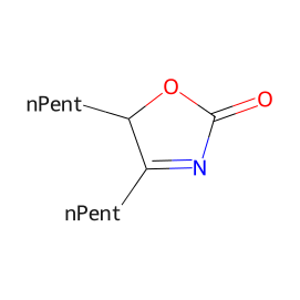 CCCCCC1=NC(=O)OC1CCCCC